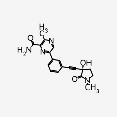 Cc1ncc(-c2cccc(C#C[C@]3(O)CCN(C)C3=O)c2)nc1C(N)=O